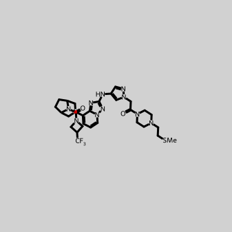 CSCCN1CCN(C(=O)Cn2cc(Nc3nc4c(N5CC6CCC(C5)N6C(=O)N5CC(C(F)(F)F)C5)cccn4n3)cn2)CC1